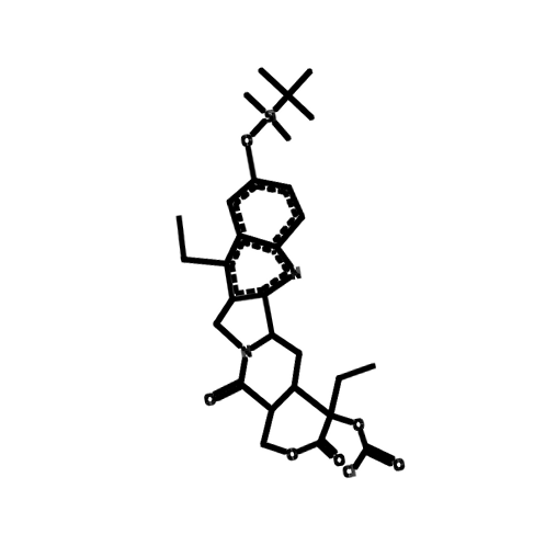 CCc1c2c(nc3ccc(O[Si](C)(C)C(C)(C)C)cc13)C1CC3C(COC(=O)C3(CC)OC(=O)Cl)C(=O)N1C2